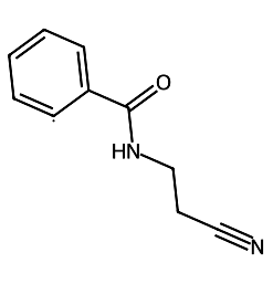 N#CCCNC(=O)c1[c]cccc1